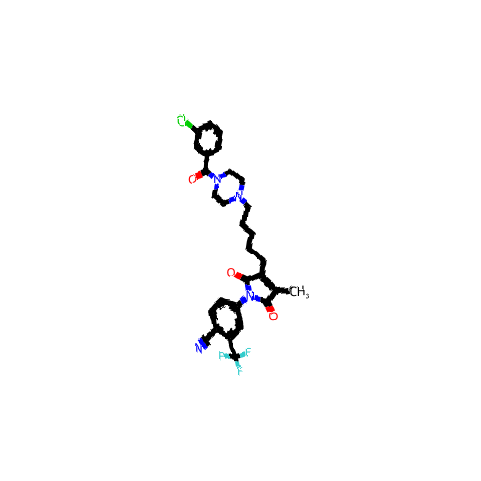 CC1=C(CCCCCN2CCN(C(=O)c3cccc(Cl)c3)CC2)C(=O)N(c2ccc(C#N)c(C(F)(F)F)c2)C1=O